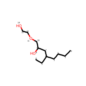 CCCCC(CC)CC(O)COCCO